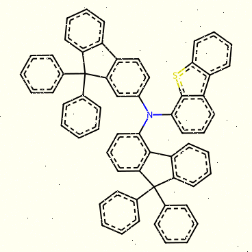 c1ccc(C2(c3ccccc3)c3ccccc3-c3ccc(N(c4cccc5c4-c4ccccc4C5(c4ccccc4)c4ccccc4)c4cccc5c4sc4ccccc45)cc32)cc1